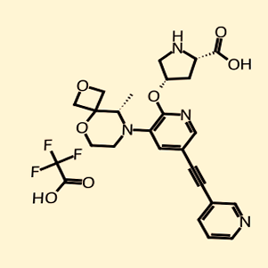 C[C@@H]1N(c2cc(C#Cc3cccnc3)cnc2O[C@@H]2CN[C@H](C(=O)O)C2)CCOC12COC2.O=C(O)C(F)(F)F